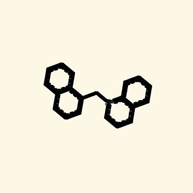 c1ccc2c(C[n+]3cccc4ccccc43)cccc2c1